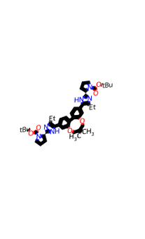 CCc1nc([C@@H]2CCCN2C(=O)OC(C)(C)C)[nH]c1-c1ccc2c(c1)OCC(C)(C)COc1cc(-c3[nH]c([C@@H]4CCCN4C(=O)OC(C)(C)C)nc3CC)ccc1-2